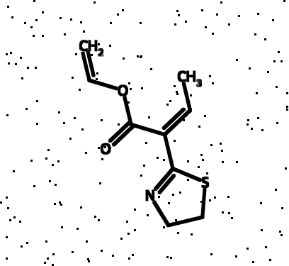 C=COC(=O)C(=CC)C1=NCCS1